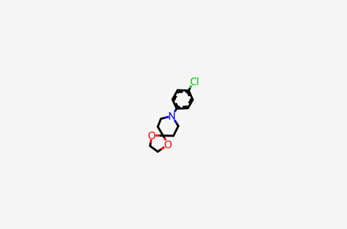 Clc1ccc(N2CCC3(CC2)OCCO3)cc1